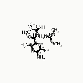 CN(C)C(=N)NC(=O)c1nc(F)c(N)nc1N.CN=C(N)NC